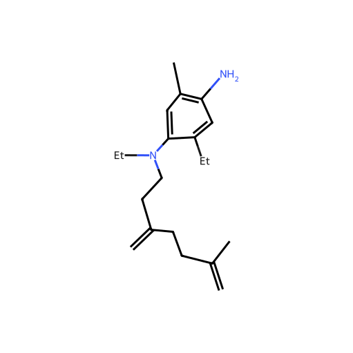 C=C(C)CCC(=C)CCN(CC)c1cc(C)c(N)cc1CC